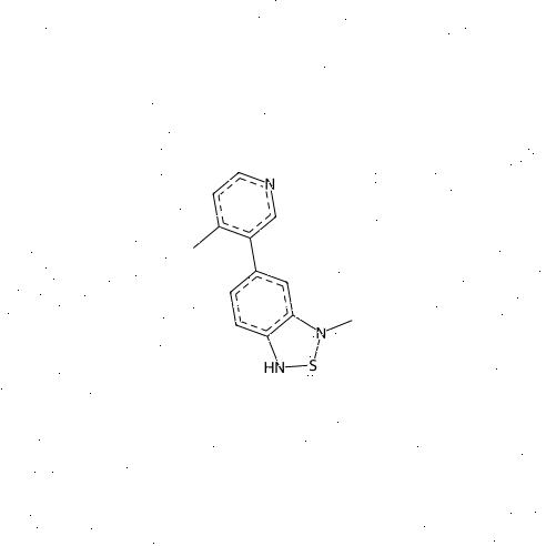 Cc1ccncc1-c1ccc2c(c1)N(C)SN2